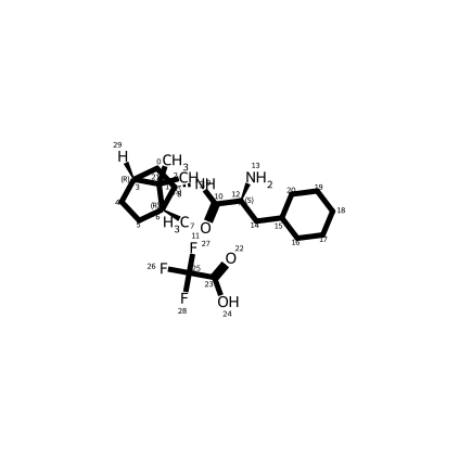 CC1(C)[C@@H]2CC[C@@]1(C)[C@@H](NC(=O)[C@@H](N)CC1CCCCC1)C2.O=C(O)C(F)(F)F